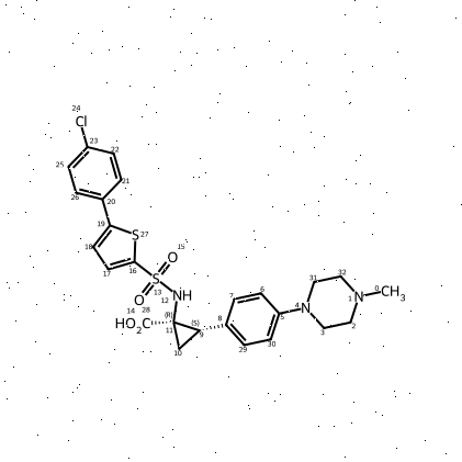 CN1CCN(c2ccc([C@@H]3C[C@]3(NS(=O)(=O)c3ccc(-c4ccc(Cl)cc4)s3)C(=O)O)cc2)CC1